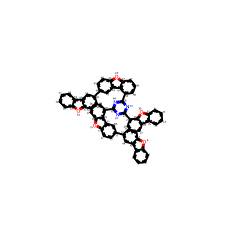 c1ccc2c(c1)oc1ccc(-c3ccc4oc5cccc(-c6nc(-c7cccc8c7oc7ccccc78)nc(-c7cccc8oc9ccc(-c%10ccc%11oc%12ccccc%12c%11c%10)cc9c78)n6)c5c4c3)cc12